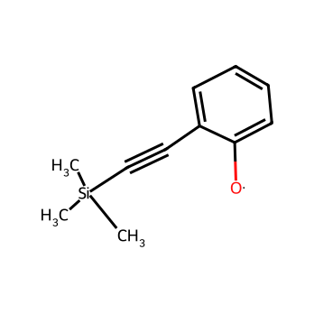 C[Si](C)(C)C#Cc1ccccc1[O]